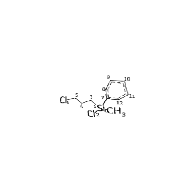 C[Si](Cl)(CCCCl)c1ccccc1